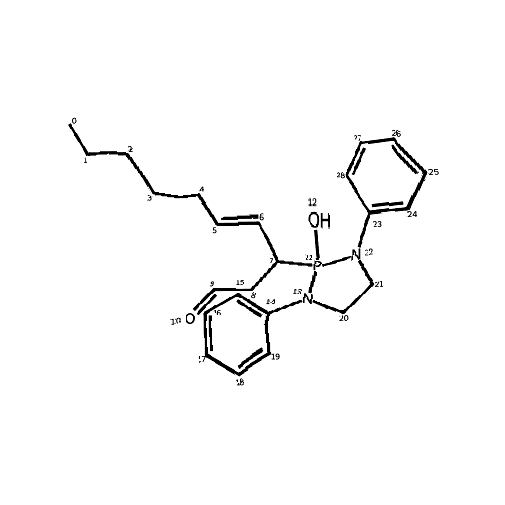 CCCCC/C=C/C(CC=O)[P]1(O)N(c2ccccc2)CCN1c1ccccc1